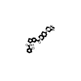 O=C(N[C@@H]1CCc2ccc(C(=O)N3CCC4(CCC(N5CCn6ncnc6C5)CC4)CC3)cc21)c1ccccc1Cl